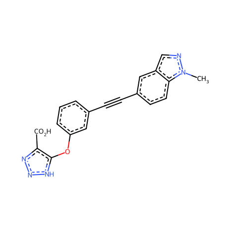 Cn1ncc2cc(C#Cc3cccc(Oc4[nH]nnc4C(=O)O)c3)ccc21